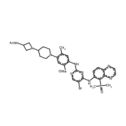 COc1cc(N2CCC(N3CC(NC(C)=O)C3)CC2)c(C)cc1Nc1ncc(Br)c(Nc2ccc3nccnc3c2P(C)(C)=O)n1